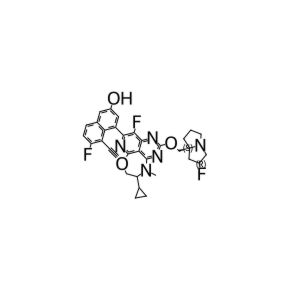 C#Cc1c(F)ccc2cc(O)cc(-c3nc4c5c(nc(OC[C@@]67CCCN6C[C@H](F)C7)nc5c3F)N(C)C(C3CC3)CO4)c12